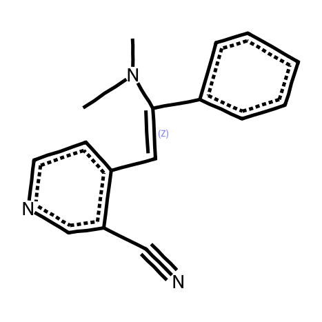 CN(C)/C(=C\c1ccncc1C#N)c1ccccc1